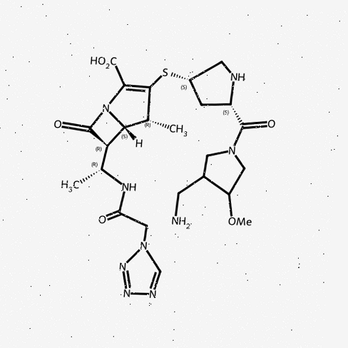 COC1CN(C(=O)[C@@H]2C[C@H](SC3=C(C(=O)O)N4C(=O)[C@H]([C@@H](C)NC(=O)Cn5cnnn5)[C@H]4[C@H]3C)CN2)CC1CN